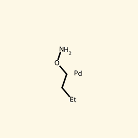 CCCCON.[Pd]